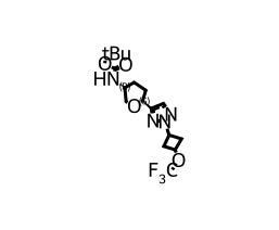 CC(C)(C)OC(=O)N[C@@H]1CC[C@@H](c2cnn(C3CC(OC(F)(F)F)C3)n2)OC1